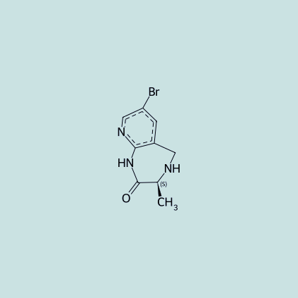 C[C@@H]1NCc2cc(Br)cnc2NC1=O